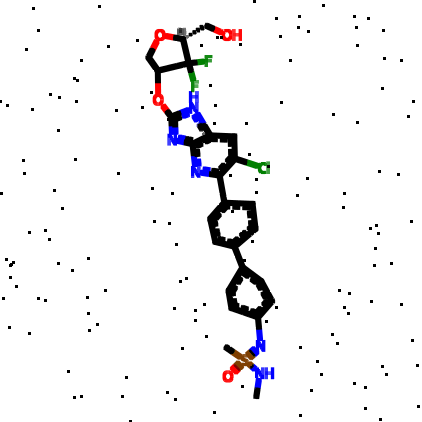 CNS(C)(=O)=Nc1ccc(-c2ccc(-c3nc4nc(OC5CO[C@H](CO)C5(F)F)[nH]c4cc3Cl)cc2)cc1